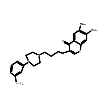 COc1cc2occ(CCCCN3CCN(c4cccc(NC(C)=O)c4)CC3)c(=O)c2cc1OC